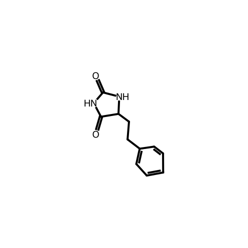 O=C1NC(=O)C(CCc2ccccc2)N1